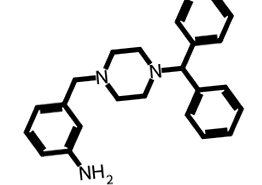 Nc1cccc(CN2CCN(C(c3ccccc3)c3ccccc3)CC2)c1